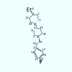 CC[C@H]1CC[C@H]([C@H]2CC[C@H](CCc3ccc(F)cc3)CC2)CC1